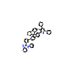 Cc1c(-c2ccccc2)cc(-c2ccccc2)nc1-c1ccc2c(c1)C1(c3ccccc3-c3ccccc31)c1cc(-c3cccc(-c4nc5ccccc5n4-c4ccccc4)c3)ccc1-2